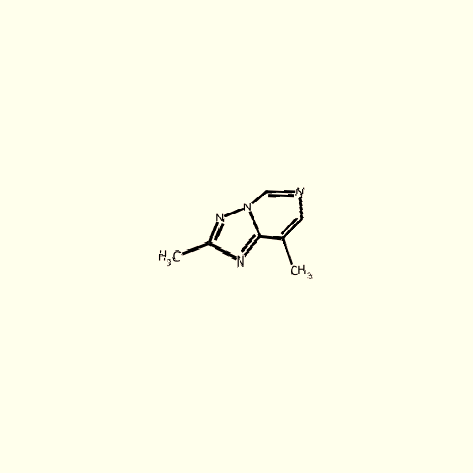 Cc1nc2c(C)cncn2n1